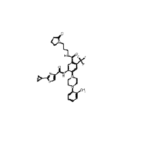 Cc1ccccc1N1CCN(c2cc(C(F)(F)F)c(C(=O)NCCCN3CCCC3=O)cc2NC(=O)c2coc(C3CC3)n2)CC1